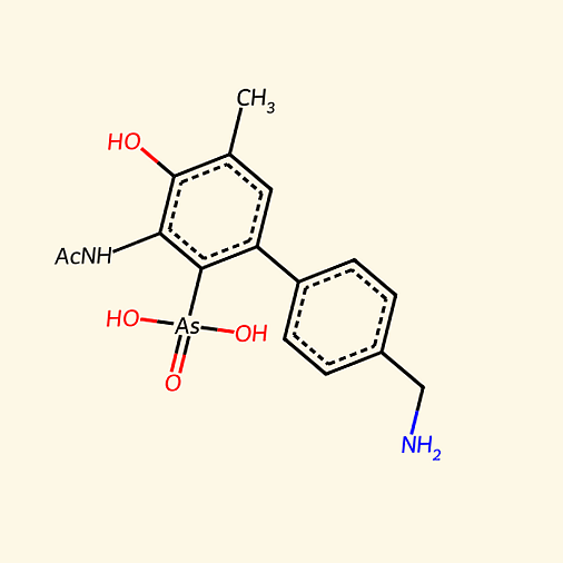 CC(=O)Nc1c(O)c(C)cc(-c2ccc(CN)cc2)c1[As](=O)(O)O